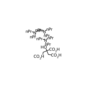 CCCN(CCC)CCC.CCCN(CCC)CCC.CCCN(CCC)CCC.O=C(O)CC(O)(CC(=O)O)C(=O)O